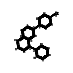 CCc1ccc(-c2ccc3nccc(-c4ccccc4)c3c2)cc1